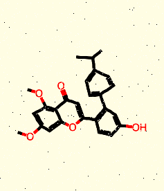 COc1cc(OC)c2c(=O)cc(-c3ccc(O)cc3-c3ccc(C(C)C)cc3)oc2c1